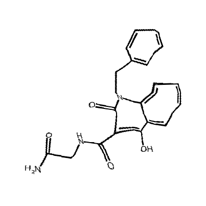 NC(=O)CNC(=O)c1c(O)c2ccccc2n(Cc2ccccc2)c1=O